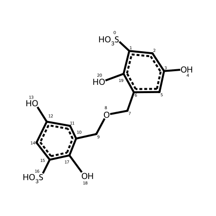 O=S(=O)(O)c1cc(O)cc(COCc2cc(O)cc(S(=O)(=O)O)c2O)c1O